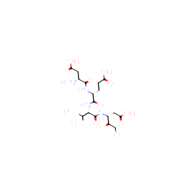 CC(C)[C@H](NC(=O)[C@H](CCC(=O)O)NC(=O)[C@@H](N)CC(=O)O)C(=O)N[C@@H](CC(=O)O)C(=O)CCl